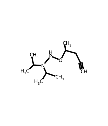 C#CCC(C)OPN(C(C)C)C(C)C